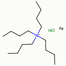 CCCC[N+](CCCC)(CCCC)CCCC.Cl.[Fe]